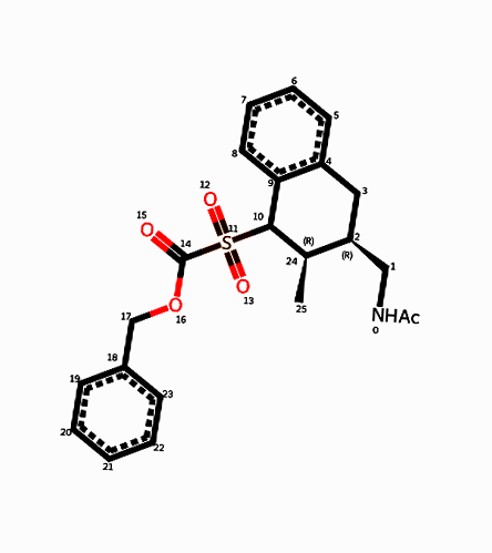 CC(=O)NC[C@@H]1Cc2ccccc2C(S(=O)(=O)C(=O)OCc2ccccc2)[C@@H]1C